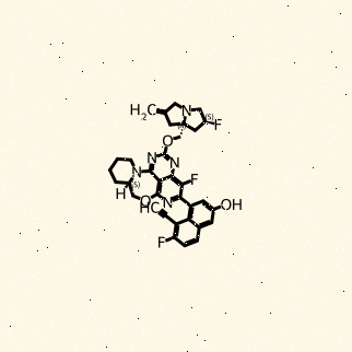 C#Cc1c(F)ccc2cc(O)cc(-c3nc4c5c(nc(OC[C@]67CC(=C)CN6C[C@@H](F)C7)nc5c3F)N3CCCC[C@H]3CO4)c12